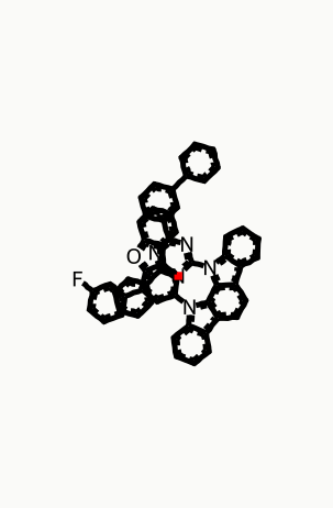 Fc1cccc(-c2cc(-n3c4ccccc4c4ccc5c6ccccc6n(-c6nc(-c7ccccc7)nc(-c7cccc(-c8ccccc8)c7)n6)c5c43)cc3c2oc2ccccc23)c1